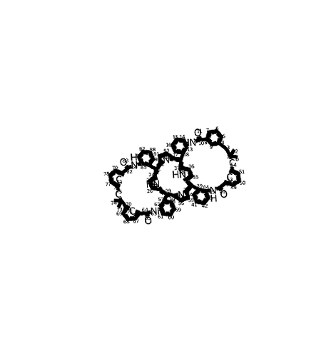 CC1(C)Cc2cccc(c2)C(=O)Nc2ccccc2-c2c3nc(c4c5ccc([nH]5)c(c5nc(c(c6ccc2[nH]6)-c2ccccc2NC(=O)c2cccc(c2)C1)C=C5)-c1ccccc1NC(=O)c1cccc(c1)C(C)(C)Cc1cccc(c1)C(=O)Nc1ccccc1-4)C=C3